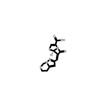 O=C(O)C1=CS[C@@H]2/C(=C\c3cc4n(n3)CSCC4)C(=O)N12